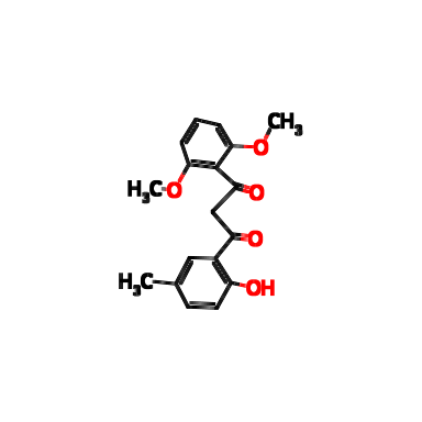 COc1cccc(OC)c1C(=O)CC(=O)c1cc(C)ccc1O